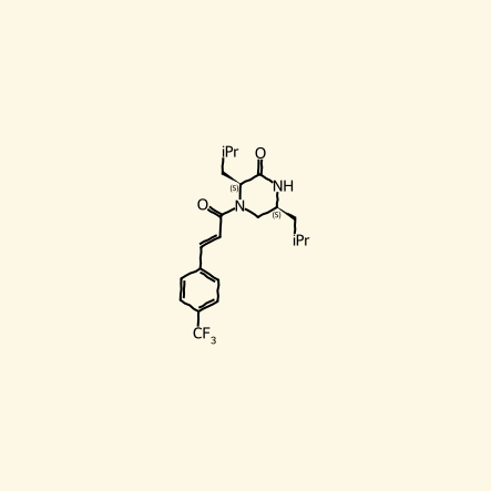 CC(C)C[C@H]1CN(C(=O)C=Cc2ccc(C(F)(F)F)cc2)[C@@H](CC(C)C)C(=O)N1